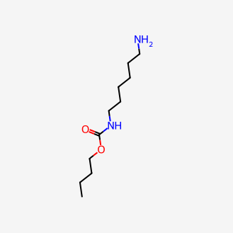 CCCCOC(=O)NCCCCCCN